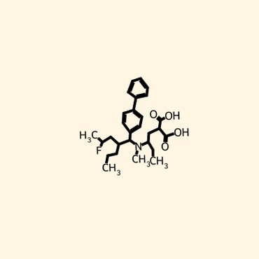 CCCC(CC(C)F)C(c1ccc(-c2ccccc2)cc1)N(C)C(CC)CC(C(=O)O)C(=O)O